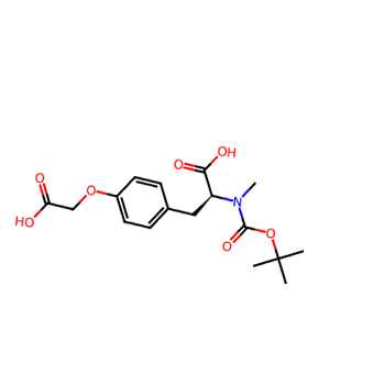 CN(C(=O)OC(C)(C)C)[C@@H](Cc1ccc(OCC(=O)O)cc1)C(=O)O